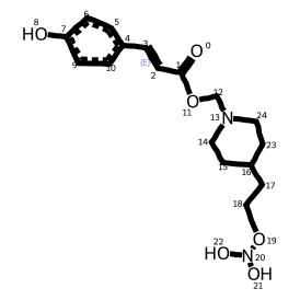 O=C(/C=C/c1ccc(O)cc1)OCN1CCC(CCON(O)O)CC1